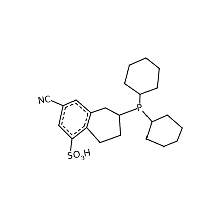 N#Cc1cc2c(c(S(=O)(=O)O)c1)CCC(P(C1CCCCC1)C1CCCCC1)C2